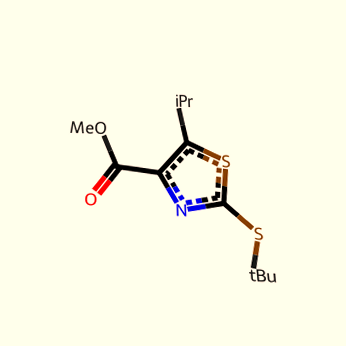 COC(=O)c1nc(SC(C)(C)C)sc1C(C)C